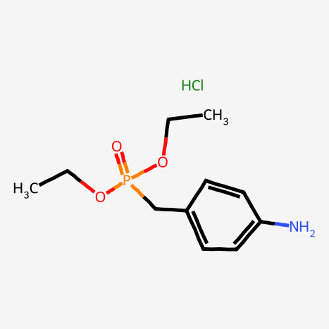 CCOP(=O)(Cc1ccc(N)cc1)OCC.Cl